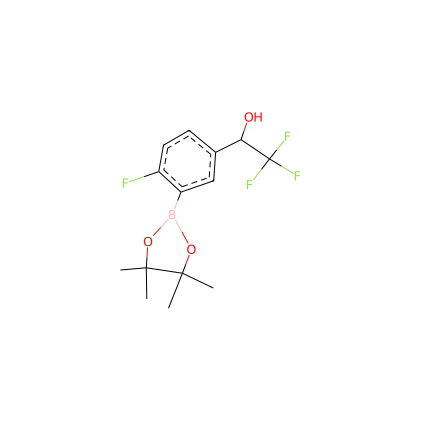 CC1(C)OB(c2cc(C(O)C(F)(F)F)ccc2F)OC1(C)C